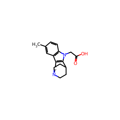 Cc1ccc2c(c1)c1c(n2CC(=O)O)C2CCN(CC2)C1